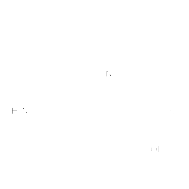 NCc1ccccc1-c1ccc(C(=O)O)cn1